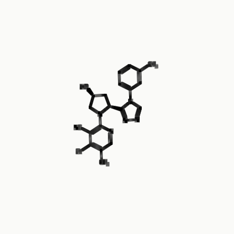 CCc1c(C)cnc(N2C[C@@H](O)C[C@H]2c2nncn2-c2cccc(C)c2)c1C#N